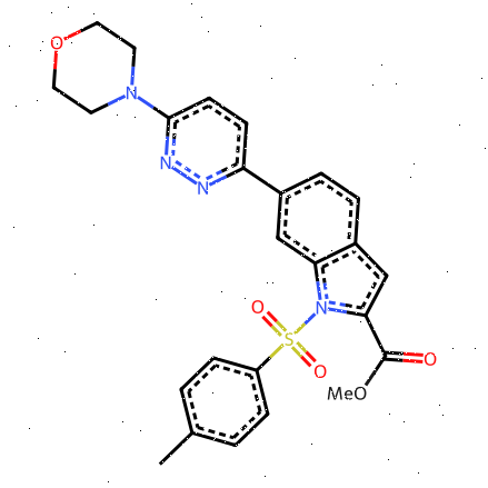 COC(=O)c1cc2ccc(-c3ccc(N4CCOCC4)nn3)cc2n1S(=O)(=O)c1ccc(C)cc1